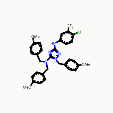 COc1ccc(CN(Cc2ccc(OC)cc2)c2nc(Nc3ccc(Cl)c(C(F)(F)F)c3)nn2Cc2ccc(OC)cc2)cc1